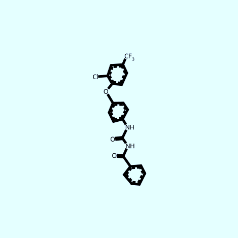 O=C(NC(=O)c1ccccc1)Nc1ccc(Oc2ccc(C(F)(F)F)cc2Cl)cc1